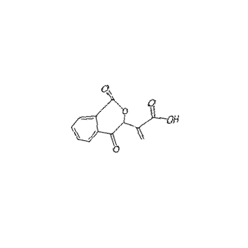 C=C(C(=O)O)C1OC(=O)c2ccccc2C1=O